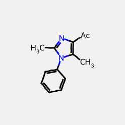 CC(=O)c1nc(C)n(-c2ccccc2)c1C